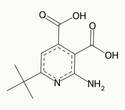 CC(C)(C)c1cc(C(=O)O)c(C(=O)O)c(N)n1